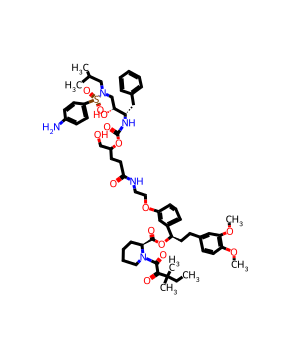 CCC(C)(C)C(=O)C(=O)N1CCCC[C@H]1C(=O)O[C@H](CCc1ccc(OC)c(OC)c1)c1cccc(OCCNC(=O)CCC(CO)OC(=O)N[C@@H](Cc2ccccc2)[C@H](O)CN(CC(C)C)S(=O)(=O)c2ccc(N)cc2)c1